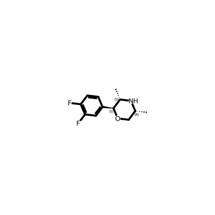 C[C@@H]1CO[C@@H](c2ccc(F)c(F)c2)[C@H](C)N1